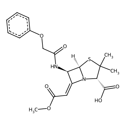 COC(=O)C=C1[C@@H](NC(=O)COc2ccccc2)[C@H]2SC(C)(C)[C@H](C(=O)O)N12